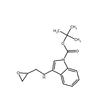 CC(C)(C)OC(=O)n1cc(NCC2CO2)c2ccccc21